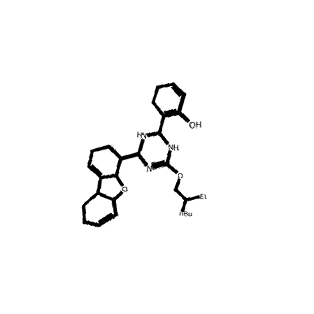 CCCCC(CC)COC1=NC(C2CCC=C3C4CCC=CC4OC32)NC(C2=C(O)C=CCC2)N1